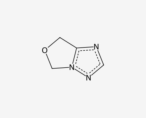 c1nc2n(n1)COC2